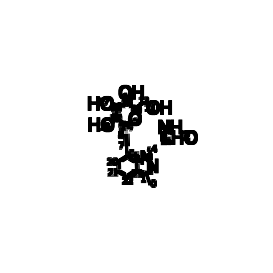 Cc1nn(C)c2c(C#C[C@H]3O[C@H](CO)[C@@H](O)[C@H](O)[C@@H]3O)cccc12.NC=O